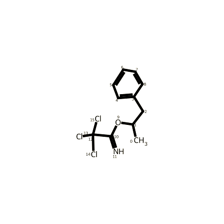 CC(Cc1ccccc1)OC(=N)C(Cl)(Cl)Cl